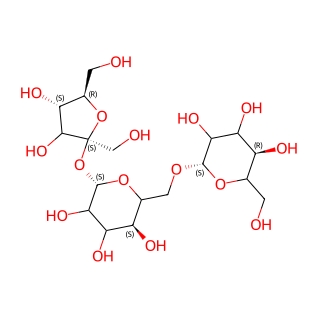 OCC1O[C@H](OCC2O[C@@H](O[C@]3(CO)O[C@H](CO)[C@@H](O)C3O)C(O)C(O)[C@@H]2O)C(O)C(O)[C@H]1O